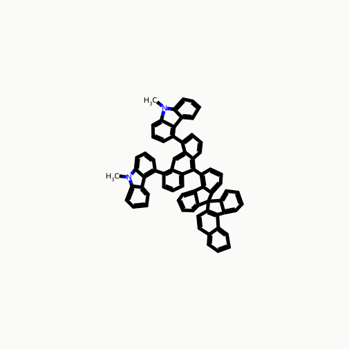 Cn1c2ccccc2c2c(-c3cccc4c(-c5cccc6c5-c5ccccc5C65c6ccccc6-c6c5ccc5ccccc65)c5cccc(-c6cccc7c6c6ccccc6n7C)c5cc34)cccc21